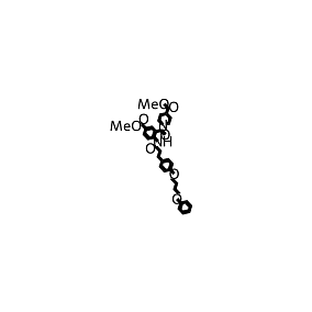 COC(=O)c1ccc(NC(=O)CCc2ccc(OCCCCOc3ccccc3)cc2)c(C(=O)N2CCC(C(=O)OC)CC2)c1